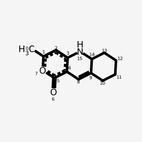 Cc1cc2c(c(=O)o1)C=C1CCCCC1N2